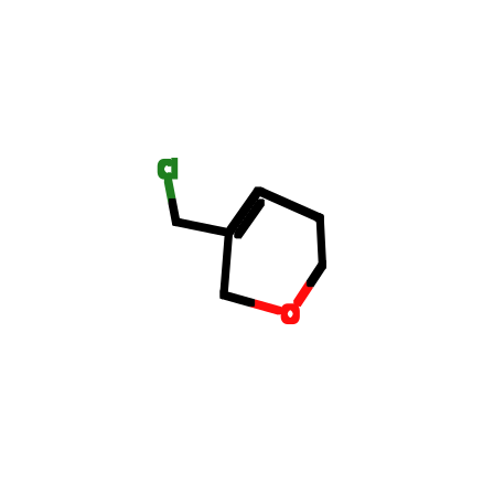 ClCC1=CCCOC1